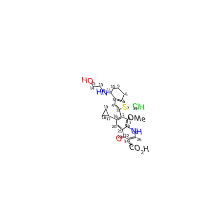 COc1c(-c2cc3c(s2)CCCC3NCCO)c(C2CC2)cc2c(=O)c(C(=O)O)c[nH]c12.Cl